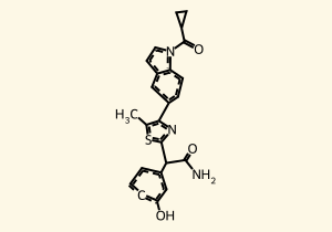 Cc1sc(C(C(N)=O)c2cccc(O)c2)nc1-c1ccc2c(ccn2C(=O)C2CC2)c1